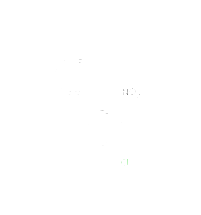 O=[N+]([O-])c1cc(Cl)ccc1-c1ccccc1